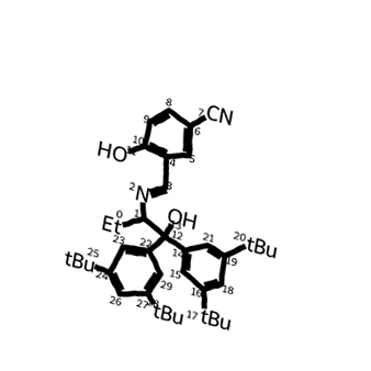 CCC(N=Cc1cc(C#N)ccc1O)C(O)(c1cc(C(C)(C)C)cc(C(C)(C)C)c1)c1cc(C(C)(C)C)cc(C(C)(C)C)c1